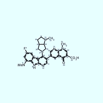 CNc1cc(F)cc2c1[nH]c1ncc(-c3cnc4c(c3)c(=O)c(C(=O)O)cn4C)c(N3CC4CCN(C)C4C3)c12